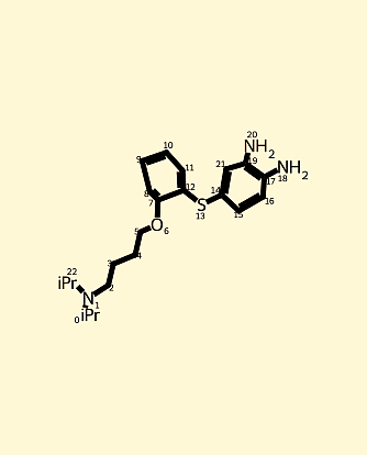 CC(C)N(CCCCOc1ccccc1Sc1ccc(N)c(N)c1)C(C)C